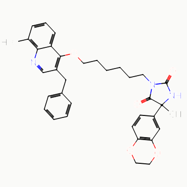 Cc1cccc2c(OCCCCCCN3C(=O)NC(C)(c4ccc5c(c4)OCCO5)C3=O)c(Cc3ccccc3)cnc12